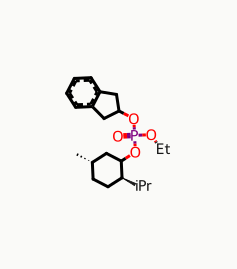 CCOP(=O)(OC1Cc2ccccc2C1)OC1C[C@@H](C)CC[C@@H]1C(C)C